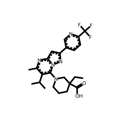 CCC1(C(=O)O)CCCN(c2c(C(C)C)c(C)nc3cc(-c4ccc(C(F)(F)F)nc4)nn23)C1